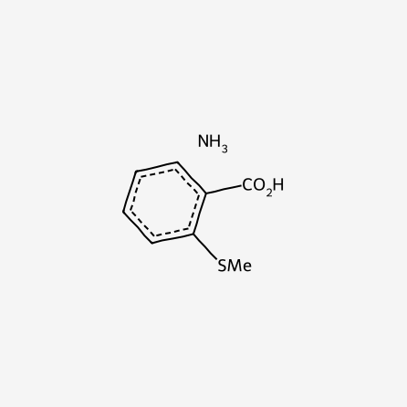 CSc1ccccc1C(=O)O.N